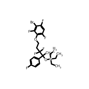 CC[Si](CC)(CC)OC(C)(c1ccc(F)cc1)C(F)(F)CCOc1c(F)cc(F)c(Br)c1F